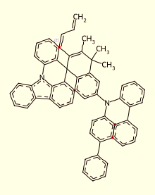 C=C/C=C\C1=C(C)C(C)(C)c2cc(N(c3ccc(-c4ccccc4)cc3)c3ccccc3-c3ccccc3)ccc2C12c1ccccc1-n1c3ccccc3c3cccc2c31